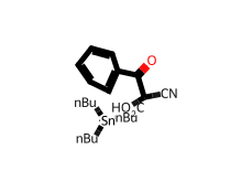 CCC[CH2][Sn]([CH2]CCC)[CH2]CCC.N#CC(C(=O)O)C(=O)c1ccccc1